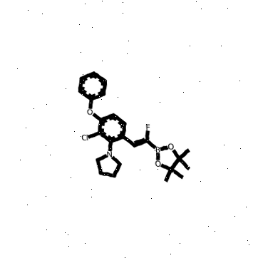 CC1(C)OB(/C(F)=C/c2ccc(Oc3ccccc3)c(Cl)c2N2CCCC2)OC1(C)C